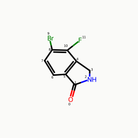 O=C1NCc2c1ccc(Br)c2F